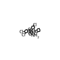 NC(=O)CN(c1ccc(Cl)cc1C(O)c1ccccc1Cl)S(=O)(=O)c1ccc(Cl)c(Cl)c1